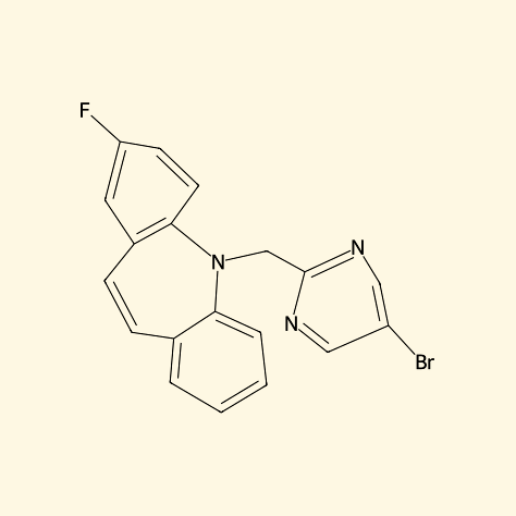 Fc1ccc2c(c1)C=Cc1ccccc1N2Cc1ncc(Br)cn1